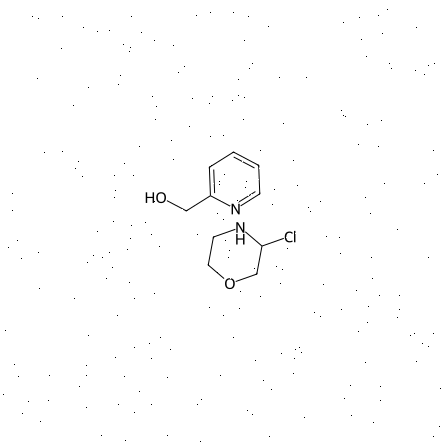 ClC1COCCN1.OCc1ccccn1